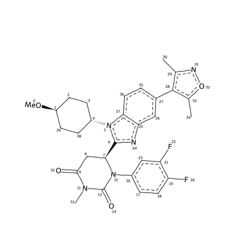 CO[C@H]1CC[C@H](n2c([C@@H]3CC(=O)N(C)C(=O)N3c3ccc(F)c(F)c3)nc3cc(-c4c(C)noc4C)ccc32)CC1